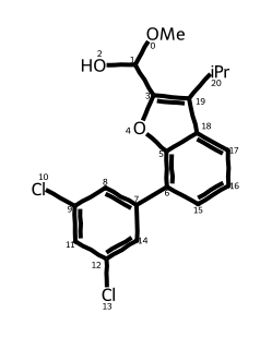 COC(O)c1oc2c(-c3cc(Cl)cc(Cl)c3)cccc2c1C(C)C